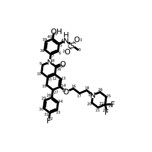 CS(=O)(=O)Nc1cc(N2CCC3=C(C=C(OCCCN4CCC(F)(F)CC4)C(c4ccc(F)cc4)C3)C2=O)ccc1O